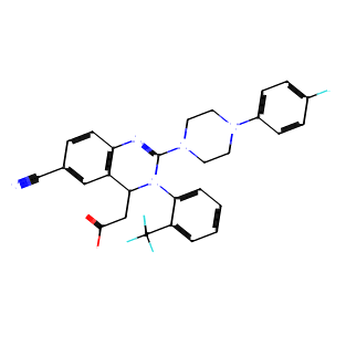 N#Cc1ccc2c(c1)C(CC(=O)O)N(c1ccccc1C(F)(F)F)C(N1CCN(c3ccc(F)cc3)CC1)=N2